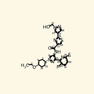 CCO[C@H]1CC[C@H](n2cc(NC(=O)c3csc(-c4cnn(CO)c4)n3)c(-c3nc(F)ccc3F)n2)CC1